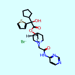 O=C(C[N+]12CCC(CC1)[C@@H](OC(=O)C(O)(c1cccs1)C1CCCC1)C2)Nc1ccncn1.[Br-]